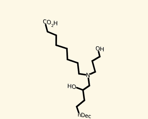 CCCCCCCCCCCCC(O)CN(CCCO)CCCCCCCC(=O)O